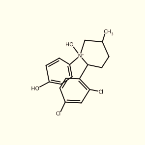 CC1CCC(c2ccc(Cl)cc2Cl)[N+](O)(c2ccc(O)cc2)C1